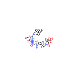 CCc1c2c(nc3cc(F)c(NC(=O)CNC(=O)[C@H](C)NC(=O)[C@@H](NC(=O)CCN(CCC(=O)O)Cc4ccccc4)C(C)C)cc13)-c1cc3c(c(=O)n1C2)COC(=O)[C@]3(O)CC